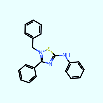 c1ccc(C[n+]2sc(Nc3ccccc3)nc2-c2ccccc2)cc1